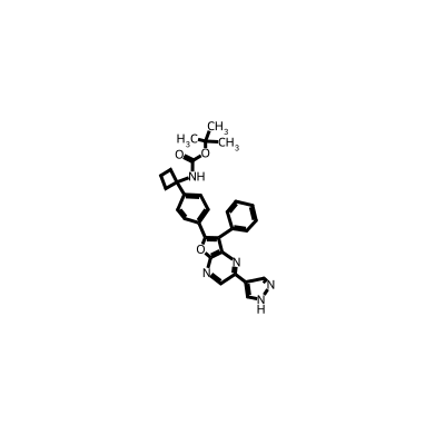 CC(C)(C)OC(=O)NC1(c2ccc(-c3oc4ncc(-c5cn[nH]c5)nc4c3-c3ccccc3)cc2)CCC1